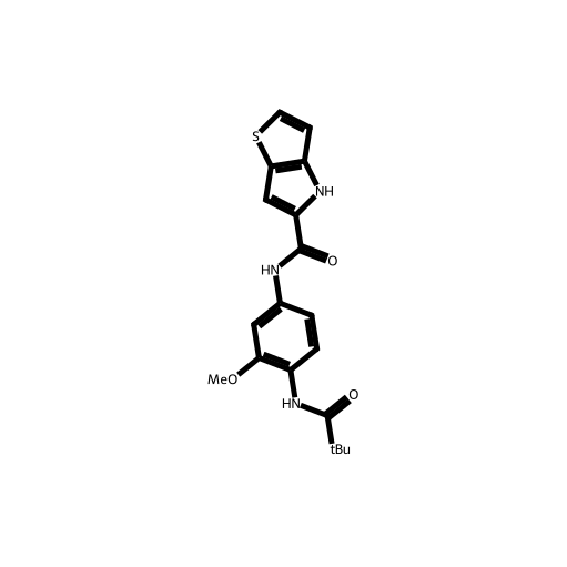 COc1cc(NC(=O)c2cc3sccc3[nH]2)ccc1NC(=O)C(C)(C)C